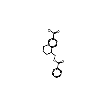 O=C(Cl)c1ccc2c(c1)CCCC2COC(=O)c1ccccc1